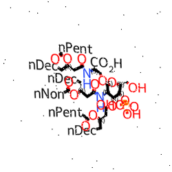 CCCCCCCCCCC[C@H](CC(=O)N[C@H]1[C@@H](OC[C@H](NC(=O)C[C@@H](CCCCCCCCCCC)OC(=O)CCCCC)C(=O)O)O[C@H](CO)[C@@H](OP(=O)(O)O)[C@@H]1OC(=O)C[C@@H](CCCCCCCCCCC)OC(=O)CCCCC)OC(=O)CCCCCCCCC